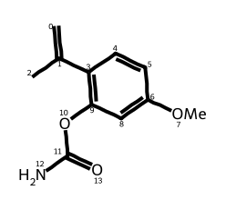 C=C(C)c1ccc(OC)cc1OC(N)=O